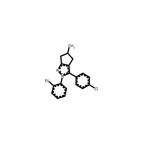 [CH2]C1Cc2nn(-c3ccccc3CC)c(-c3ccc(Cl)cc3)c2C1